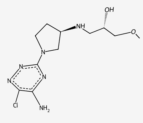 COC[C@@H](O)CN[C@@H]1CCN(c2nnc(Cl)c(N)n2)C1